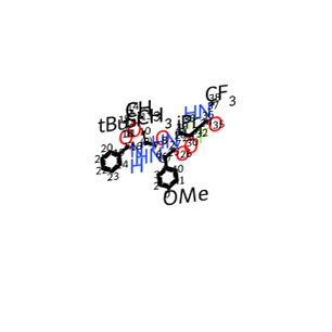 COc1ccc([C@H](NC(=O)[C@H](CO[Si](C)(C)C(C)(C)C)NC(=O)c2ccccc2)C(=O)N[C@H](C(=O)C(F)(F)C(=O)NCC(F)(F)F)C(C)C)cc1